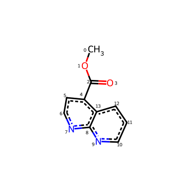 COC(=O)c1ccnc2ncccc12